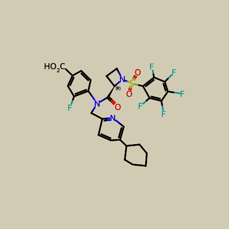 O=C(O)c1ccc(N(Cc2ccc(C3CCCCC3)cn2)C(=O)[C@H]2CCN2S(=O)(=O)c2c(F)c(F)c(F)c(F)c2F)c(F)c1